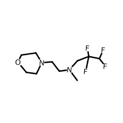 CN(CCN1CCOCC1)CC(F)(F)C(F)F